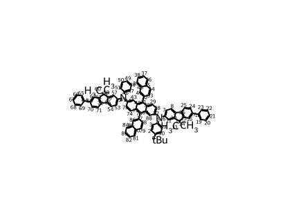 CC(C)(C)c1ccc(N(c2ccc3c(c2)C(C)(C)c2cc(-c4ccccc4)ccc2-3)c2ccc3c(-c4ccc5ccccc5c4)c4cc(N(c5ccccc5)c5ccc6c(c5)C(C)(C)c5cc(-c7ccccc7)ccc5-6)ccc4c(-c4ccc5ccccc5c4)c3c2)cc1